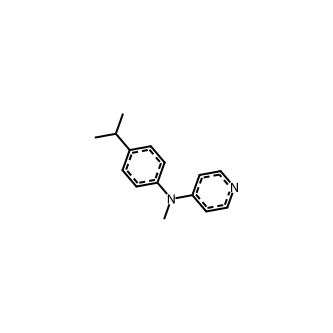 CC(C)c1ccc(N(C)c2ccncc2)cc1